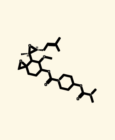 COC1C(OC(=O)N2CCC(OC(=O)N(C)C)CC2)CCC2(CO2)C1[C@@]1(C)O[C@@H]1CC=C(C)C